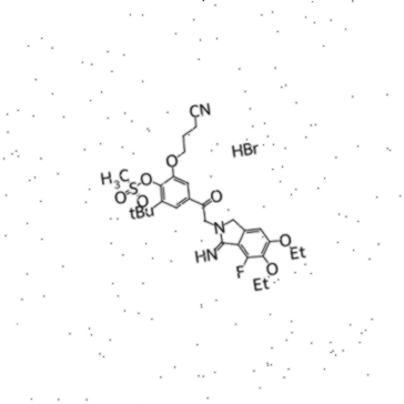 Br.CCOc1cc2c(c(F)c1OCC)C(=N)N(CC(=O)c1cc(OCCCC#N)c(OS(C)(=O)=O)c(C(C)(C)C)c1)C2